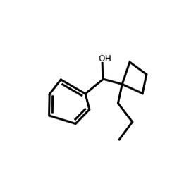 CCCC1(C(O)c2ccccc2)CCC1